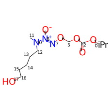 CC(C)OC(=O)OCO/N=[N+](\[O-])N(C)CCCCCO